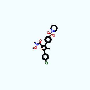 CON(C)C(=O)c1sc(-c2ccc(Cl)cc2)c(C)c1-c1ccc(S(=O)(=O)N2CCCCC2)cc1